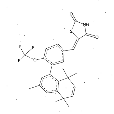 Cc1cc(-c2cc(C=C3SC(=O)NC3=O)ccc2OC(F)(F)F)c2c(c1)C(C)(C)C=CC2(C)C